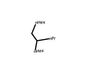 [CH2]CCCCCC(CCC)CCCCCCC